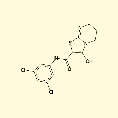 O=C(Nc1cc(Cl)cc(Cl)c1)C1=C(O)N2CCCN=C2S1